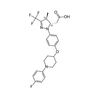 C[C@@H]1C(C(F)(F)F)=NN(c2ccc(OC3CCN(c4ccc(F)cc4)CC3)cc2)[C@H]1CC(=O)O